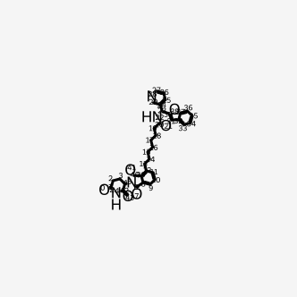 O=C1CCC(N2C(=O)c3cccc(CCCCCCCC(=O)NC(c4cccnc4)c4cc5ccccc5o4)c3C2=O)C(=O)N1